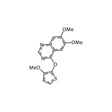 COc1cc2ncnc(Oc3sccc3OC)c2cc1OC